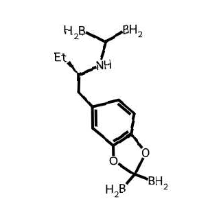 BC(B)N[C@H](CC)Cc1ccc2c(c1)OC(B)(B)O2